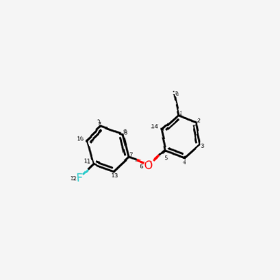 [CH2]c1cccc(Oc2cccc(F)c2)c1